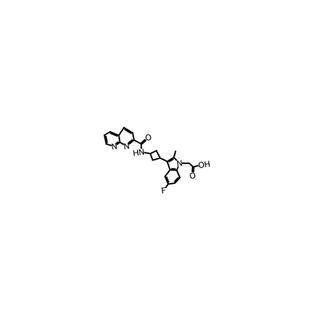 Cc1c(C2CC(NC(=O)c3ccc4cccnc4n3)C2)c2cc(F)ccc2n1CC(=O)O